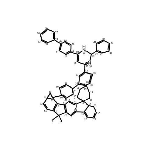 CC1(C)C2=C(c3cc4c(cc31)C1=CC=CCC1C41CCCCC1)C1(C3=CCC(c4cccc(C5=NC(c6ccccc6)NC(c6ccc(-c7ccccc7)cc6)=C5)c4)C=C3)CC1C=C2